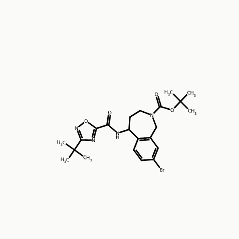 CC(C)(C)OC(=O)N1CCC(NC(=O)c2nc(C(C)(C)C)no2)c2ccc(Br)cc2C1